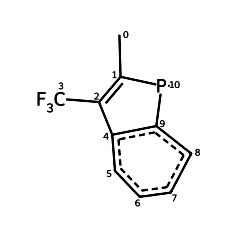 CC1=C(C(F)(F)F)c2ccccc2[P]1